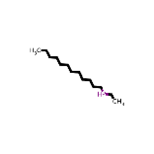 CCCCCCCCCCCCPCC